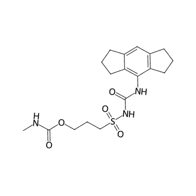 CNC(=O)OCCCS(=O)(=O)NC(=O)Nc1c2c(cc3c1CCC3)CCC2